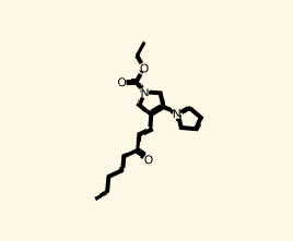 CCCCCC(=O)CCC1=C(N2CCCC2)CN(C(=O)OCC)C1